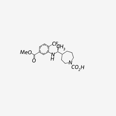 COC(=O)c1ccc(C(F)(F)F)c(N[C@@H](C)C2CCCN(C(=O)O)CC2)c1